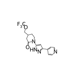 O=C1CC(COC(F)(F)F)CCN1c1cc(-c2ccncc2)n[nH]1